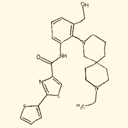 CCN1CCC2(CCCN(c3c(CO)cccc3NC(=O)c3csc(-c4cccs4)n3)C2)CC1